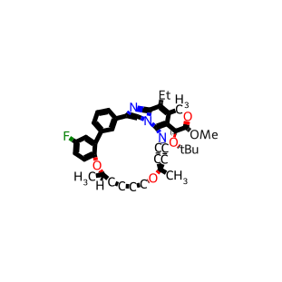 CCc1c(C)c([C@H](OC(C)(C)C)C(=O)OC)c2n3cc(nc13)-c1cccc(c1)-c1cc(F)ccc1O[C@@H](C)CCCCOC1(C)CCN2CC1